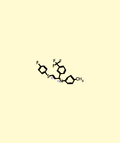 Cc1ccc(/N=C(/C=C/Sc2ccc(F)cc2)c2cccc(C(F)(F)F)c2)cc1